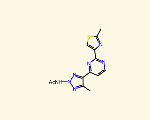 CC(=O)Nn1nc(C)c(-c2ccnc(-c3csc(C)n3)n2)n1